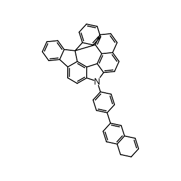 C1=Cc2cc(-c3ccc(-n4c5ccc6c7c5c5c8c(cccc8ccc54)C7(c4ccccc4)c4ccccc4-6)cc3)ccc2CC1